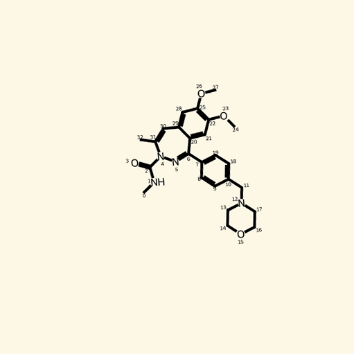 CNC(=O)N1N=C(c2ccc(CN3CCOCC3)cc2)c2cc(OC)c(OC)cc2C=C1C